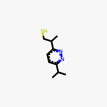 CC(C)c1ccc(C(C)CS)nn1